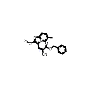 Cc1ccc2nc(OC(C)C)c(/C=C(/C#N)C(=O)OCc3ccccc3)n2c1